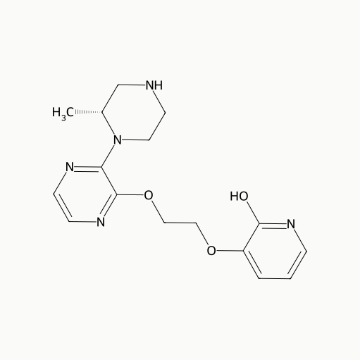 C[C@@H]1CNCCN1c1nccnc1OCCOc1cccnc1O